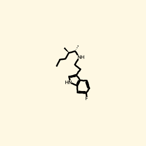 CCC[C@@H](C)[C@H](C)NCCc1c[nH]c2cc(F)ccc12